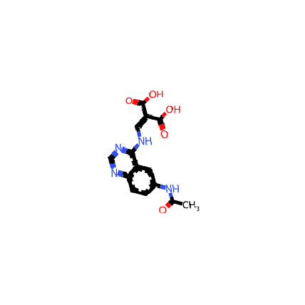 CC(=O)Nc1ccc2ncnc(NC=C(C(=O)O)C(=O)O)c2c1